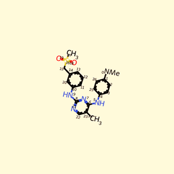 CNc1ccc(Nc2nc(Nc3cccc(CS(C)(=O)=O)c3)ncc2C)cc1